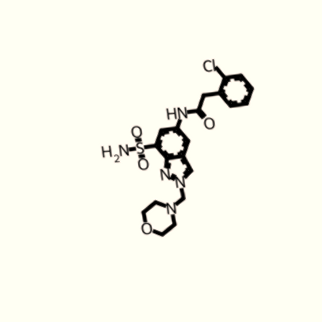 NS(=O)(=O)c1cc(NC(=O)Cc2ccccc2Cl)cc2cn(CN3CCOCC3)nc12